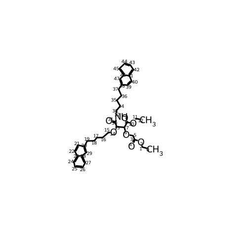 CCOC(=O)COC(C(=O)OCC)C(OCCCCCc1ccc2ccccc2c1)C(=O)NCCCCCc1ccc2ccccc2c1